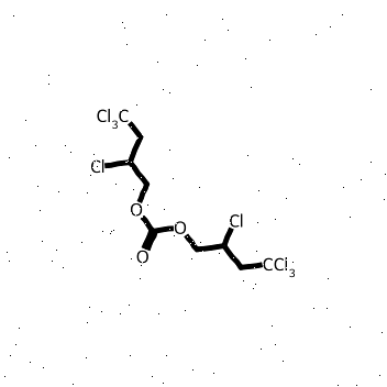 O=C(OCC(Cl)CC(Cl)(Cl)Cl)OCC(Cl)CC(Cl)(Cl)Cl